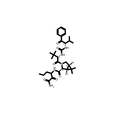 CCCC(NC(=O)[C@@H]1[C@@H]2[C@H](CN1C(=O)[C@@H](NC(=O)N[C@H](C(=O)c1ccccc1)C(C)C)C(C)(C)C)C2(C)C)C(=O)C(N)=O